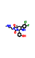 CNCCCN1C(=O)N2C(c3cccc(O)c3)c3[nH]c4cc(F)c(Cl)cc4c3CC2(C)C1=O